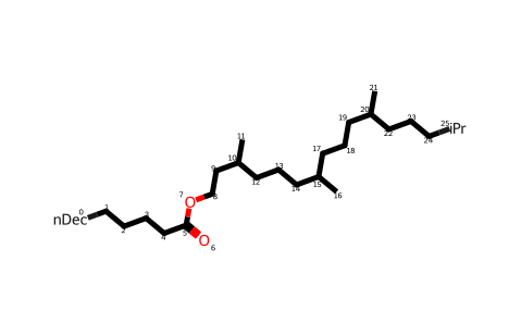 CCCCCCCCCCCCCCC(=O)OCCC(C)CCCC(C)CCCC(C)CCCC(C)C